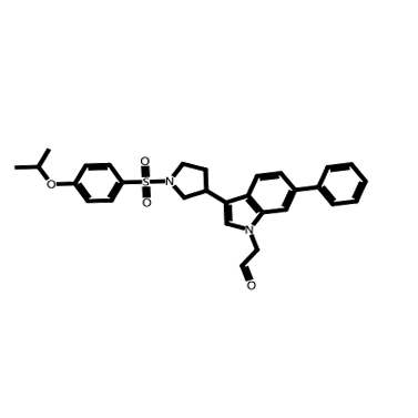 CC(C)Oc1ccc(S(=O)(=O)N2CCC(c3cn(CC=O)c4cc(-c5ccccc5)ccc34)C2)cc1